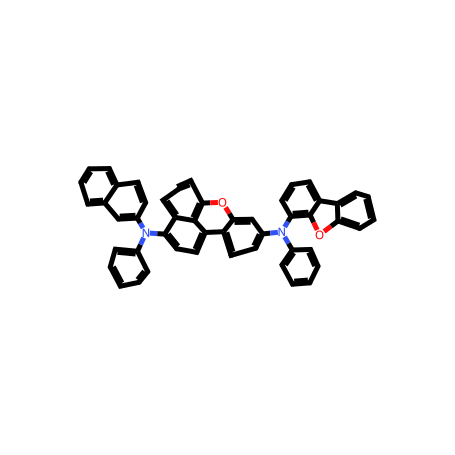 c1ccc(N(c2ccc3ccccc3c2)c2ccc3c4c(cccc24)Oc2cc(N(c4ccccc4)c4cccc5c4oc4ccccc45)ccc2-3)cc1